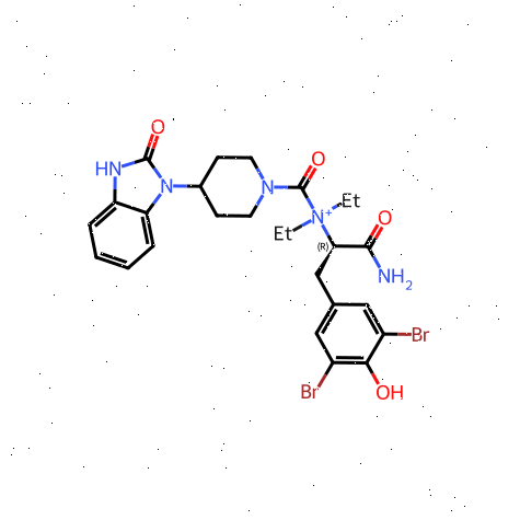 CC[N+](CC)(C(=O)N1CCC(n2c(=O)[nH]c3ccccc32)CC1)[C@H](Cc1cc(Br)c(O)c(Br)c1)C(N)=O